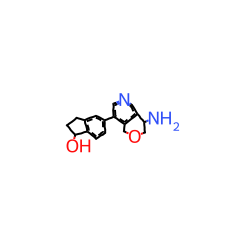 NC1COCc2c(-c3ccc4c(c3)CCC4O)cncc21